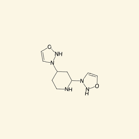 C1=CN(C2CCNC(N3C=CON3)C2)NO1